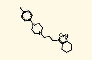 Cc1ccc(N2CCN(CCCc3onc4c3CCCC4)CC2)cc1